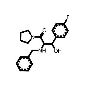 O=C(C(NCc1ccccc1)C(O)c1ccc(F)cc1)N1CCCC1